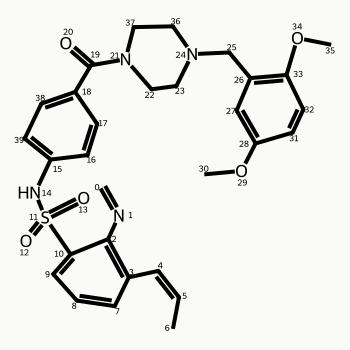 C=Nc1c(/C=C\C)cccc1S(=O)(=O)Nc1ccc(C(=O)N2CCN(Cc3cc(OC)ccc3OC)CC2)cc1